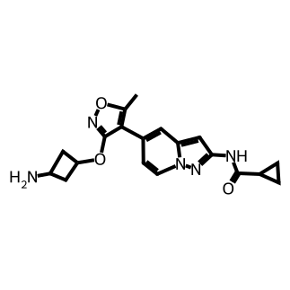 Cc1onc(OC2CC(N)C2)c1-c1ccn2nc(NC(=O)C3CC3)cc2c1